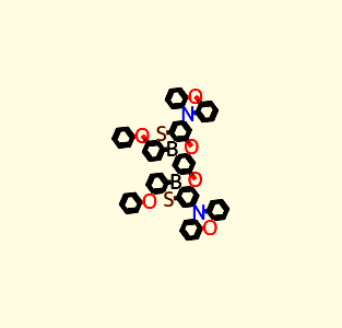 c1ccc(Oc2cccc3c2Sc2cc(N4c5ccccc5Oc5ccccc54)cc4c2B3c2cc3c(cc2O4)Oc2cc(N4c5ccccc5Oc5ccccc54)cc4c2B3c2cccc(Oc3ccccc3)c2S4)cc1